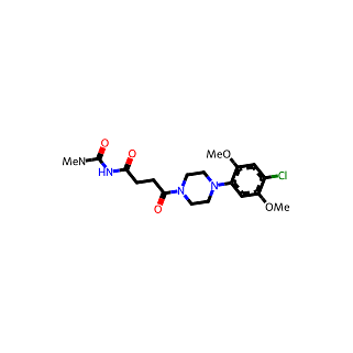 CNC(=O)NC(=O)CCC(=O)N1CCN(c2cc(OC)c(Cl)cc2OC)CC1